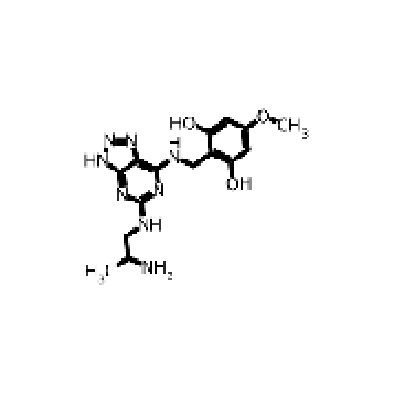 COc1cc(O)c(CNc2nc(NCC(C)N)nc3[nH]nnc23)c(O)c1